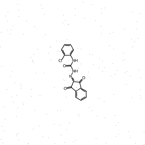 O=C(NN=c1c(=O)c2ccccc2c1=O)Nc1ccccc1Cl